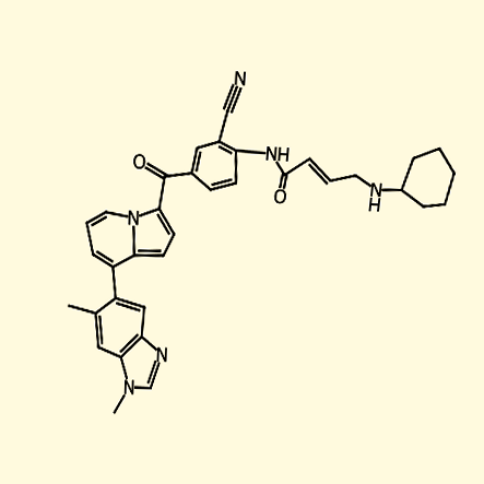 Cc1cc2c(cc1-c1cccn3c(C(=O)c4ccc(NC(=O)/C=C/CNC5CCCCC5)c(C#N)c4)ccc13)ncn2C